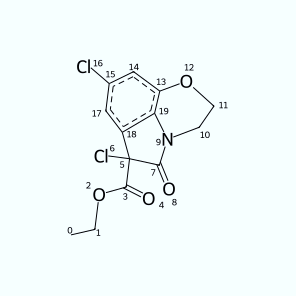 CCOC(=O)C1(Cl)C(=O)N2CCOc3cc(Cl)cc1c32